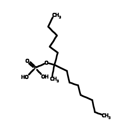 CCCCCCCC(C)(CCCCC)OP(=O)(O)O